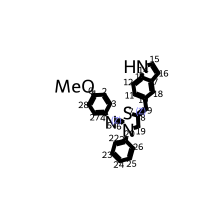 COc1ccc(/N=C2\S/C(=C\c3ccc4[nH]ccc4c3)CN2c2ccccc2)cc1